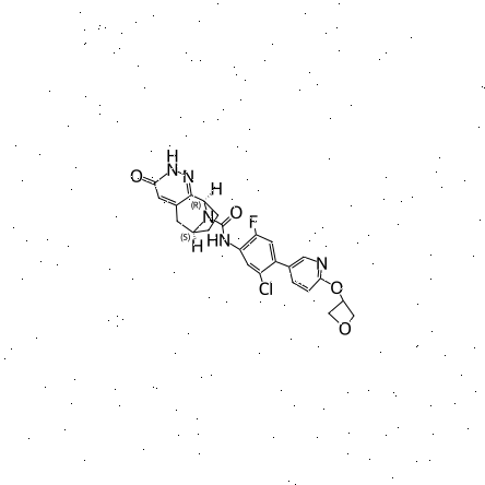 O=C(Nc1cc(Cl)c(-c2ccc(OC3COC3)nc2)cc1F)N1[C@H]2CC[C@@H]1c1n[nH]c(=O)cc1C2